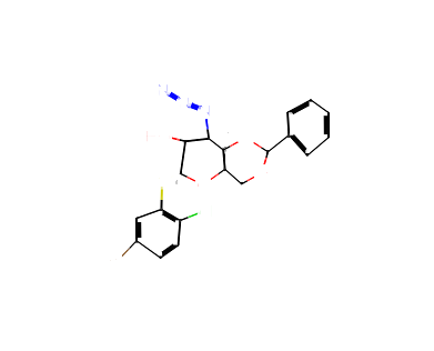 [N-]=[N+]=NC1C(O)[C@@H](Sc2cc(Br)ccc2Cl)OC2COC(c3ccccc3)O[C@@H]21